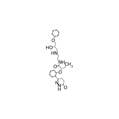 CCC(Oc1ccccc1C1=NNC(=O)CC1)C(=O)NCCNCC(O)COc1ccccc1